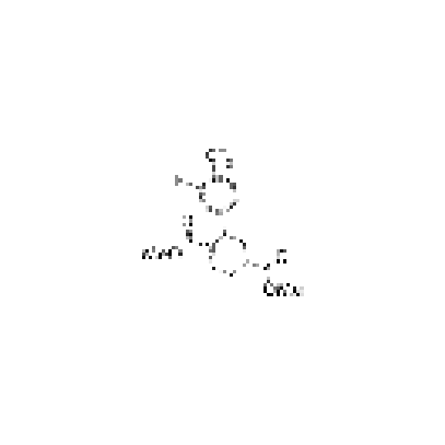 COC(=O)C1CCN(C(=O)OC)C(c2ccc(C(F)(F)F)c(F)c2)C1